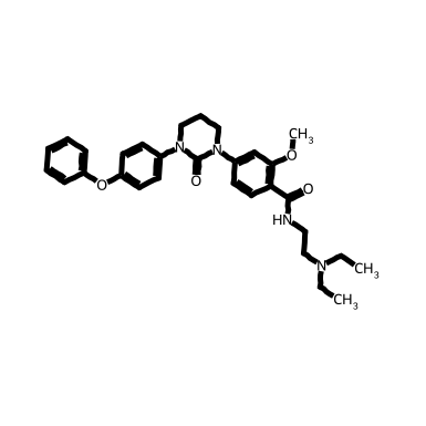 CCN(CC)CCNC(=O)c1ccc(N2CCCN(c3ccc(Oc4ccccc4)cc3)C2=O)cc1OC